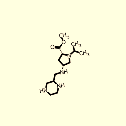 COC(=O)[C@H]1C[C@@H](NCC2CNCCN2)CN1C(C)C